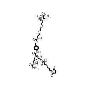 CC(C)(C)C(=O)NCCOCCOCCNC(=O)OCc1ccc(NC(=O)[C@@H](CCCNC(N)=O)NC(=O)CNC(=O)CCCCCN2C(=O)C=CC2=O)cc1